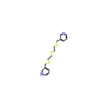 c1cncc(CSCCSCCSCc2cccnc2)c1